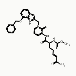 COC(=O)NC(CCC=CC(N)=O)C(=O)Nc1cccn(Cc2nc3cccc(OCc4ccccc4)c3[nH]2)c1=O